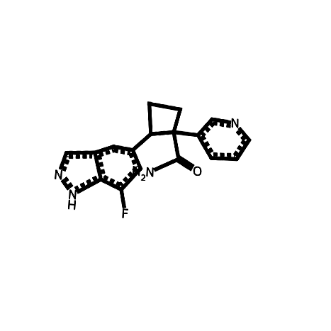 NC(=O)C1(c2cccnc2)CCC1c1cc(F)c2[nH]ncc2c1